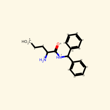 NC(CCC(=O)O)C(=O)NC(c1ccccc1)c1ccccc1